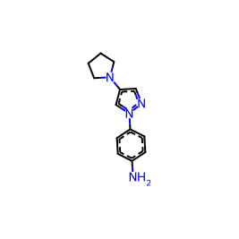 Nc1ccc(-n2cc(N3CCCC3)cn2)cc1